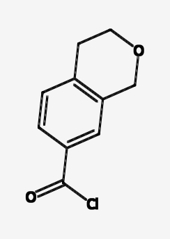 O=C(Cl)c1ccc2c(c1)COCC2